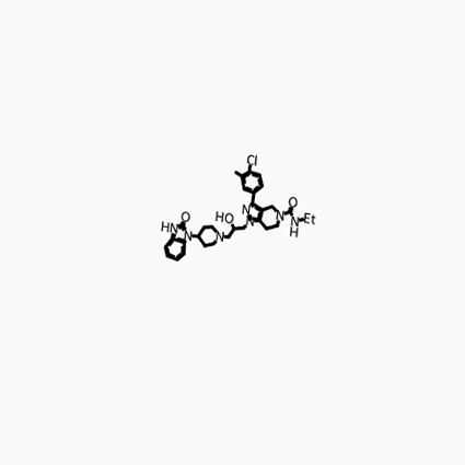 CCNC(=O)N1CCc2c(c(-c3ccc(Cl)c(C)c3)nn2CC(O)CN2CCC(n3c(=O)[nH]c4ccccc43)CC2)C1